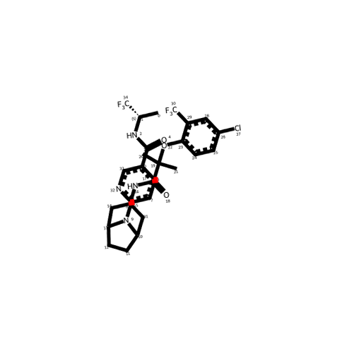 C[C@H](NC(=O)c1ccc(N2C3CCC2CC(NC(=O)C(C)(C)Oc2ccc(Cl)cc2C(F)(F)F)C3)nc1)C(F)(F)F